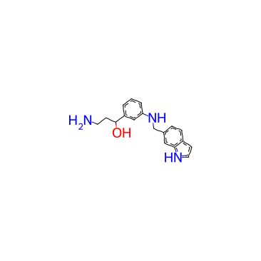 NCCC(O)c1cccc(NCc2ccc3cc[nH]c3c2)c1